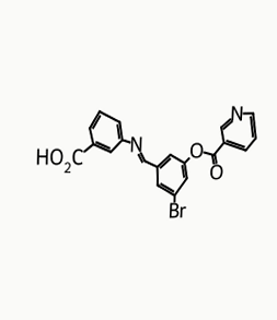 O=C(O)c1cccc(N=Cc2cc(Br)cc(OC(=O)c3cccnc3)c2)c1